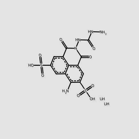 NNC(=O)NN1C(=O)c2cc(S(=O)(=O)O)cc3c(N)c(S(=O)(=O)O)cc(c23)C1=O.[LiH].[LiH]